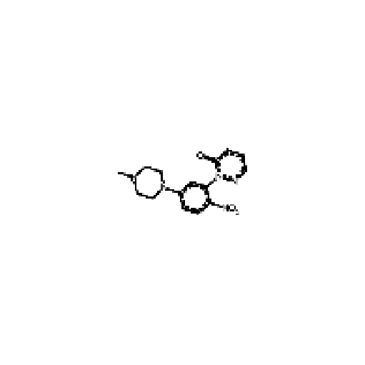 CN1CCN(c2ccc([N+](=O)[O-])c(-n3ncccc3=O)c2)CC1